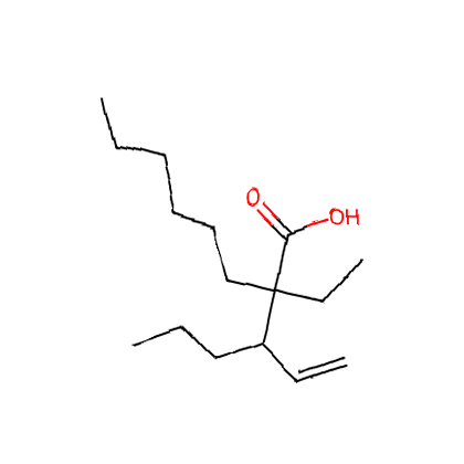 C=CC(CCC)C(CC)(CCCCCC)C(=O)O